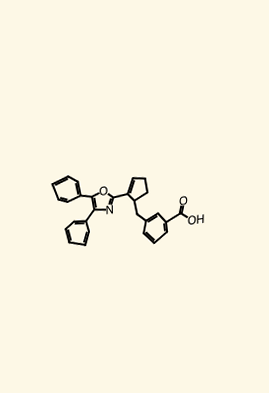 O=C(O)c1cccc(CC2CCC=C2c2nc(-c3ccccc3)c(-c3ccccc3)o2)c1